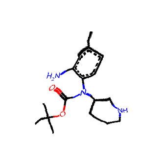 Cc1ccc(N(C(=O)OC(C)(C)C)C2CCCNC2)c(N)c1